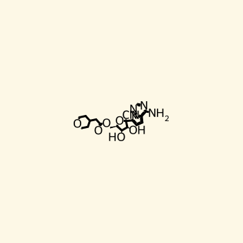 N#C[C@@]1(c2ccc3c(N)ncnn23)O[C@H](COC(=O)CC2CCOCC2)[C@@H](O)[C@H]1O